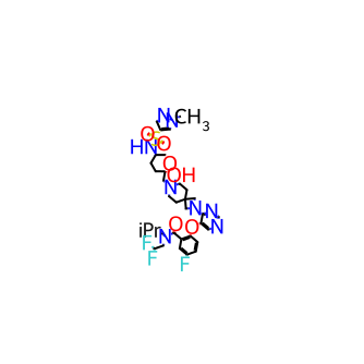 CC(C)N(CC(F)F)C(=O)c1cc(F)ccc1Oc1cncnc1N1CC2(CCN(C[C@@]3(O)CC[C@@H](NS(=O)(=O)c4cnn(C)c4)CO3)CC2)C1